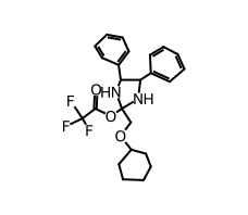 O=C(OC1(COC2CCCCC2)NC(c2ccccc2)C(c2ccccc2)N1)C(F)(F)F